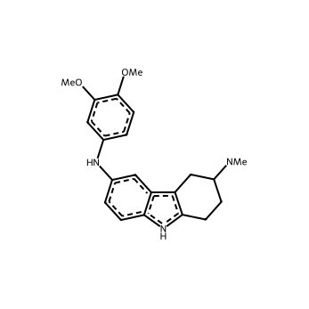 CNC1CCc2[nH]c3ccc(Nc4ccc(OC)c(OC)c4)cc3c2C1